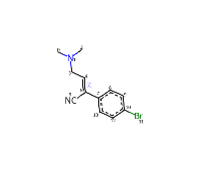 CN(C)C/C=C(\C#N)c1ccc(Br)cc1